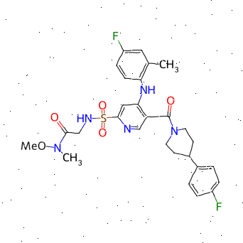 CON(C)C(=O)CNS(=O)(=O)c1cc(Nc2ccc(F)cc2C)c(C(=O)N2CCC(c3ccc(F)cc3)CC2)cn1